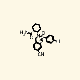 N#Cc1ccc(CN([C@H]2CCCC[C@H]2C(N)=O)S(=O)(=O)c2ccc(Cl)cc2)cc1